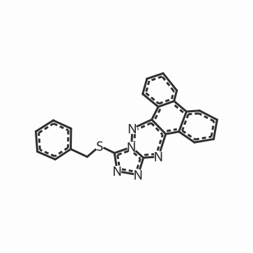 c1ccc(CSc2nnc3nc4c5ccccc5c5ccccc5c4nn23)cc1